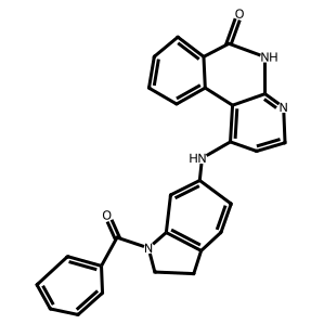 O=C(c1ccccc1)N1CCc2ccc(Nc3ccnc4[nH]c(=O)c5ccccc5c34)cc21